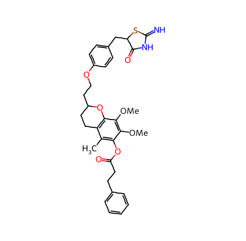 COc1c(OC(=O)CCc2ccccc2)c(C)c2c(c1OC)OC(CCOc1ccc(CC3SC(=N)NC3=O)cc1)CC2